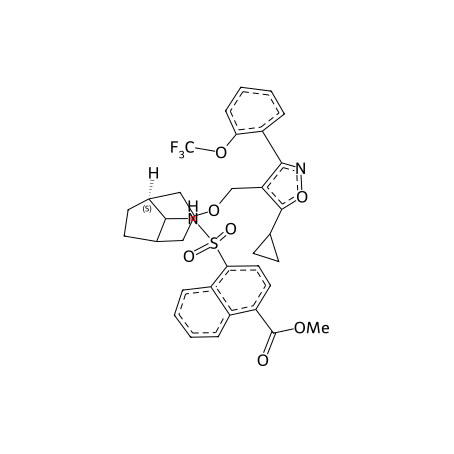 COC(=O)c1ccc(S(=O)(=O)NC2C3CC[C@H]2CC(OCc2c(-c4ccccc4OC(F)(F)F)noc2C2CC2)C3)c2ccccc12